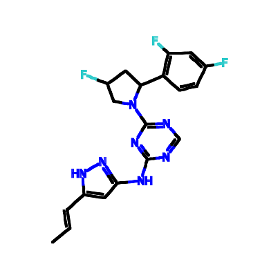 C/C=C/c1cc(Nc2ncnc(N3CC(F)CC3c3ccc(F)cc3F)n2)n[nH]1